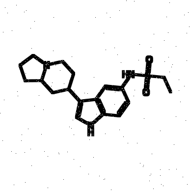 CCS(=O)(=O)Nc1ccc2[nH]cc(C3CCN4CCCC4C3)c2c1